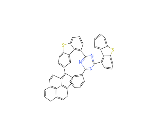 C1=Cc2ccc3c(-c4ccc5sc6cccc(-c7nc(-c8ccccc8)nc(-c8cccc9sc%10ccccc%10c89)n7)c6c5c4)ccc4c3c2C(=CC4)C1